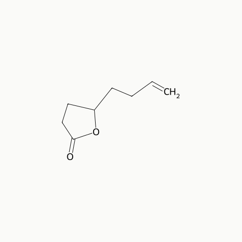 C=CCCC1CCC(=O)O1